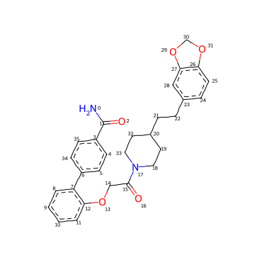 NC(=O)c1ccc(-c2ccccc2OCC(=O)N2CCC(CCc3ccc4c(c3)OCO4)CC2)cc1